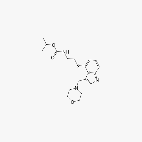 CC(C)OC(=O)NCCSc1cccc2ncc(CN3CCOCC3)n12